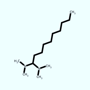 CCCCCCCCCC(N(C)C)N(C)C